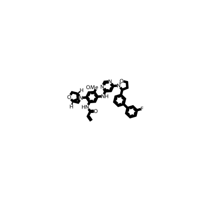 C=CC(=O)Nc1cc(Nc2cc(N3OCCC3c3cccc(-c4cccc(F)c4)c3)ncn2)c(OC)cc1N1C[C@H]2C[C@@H]1CO2